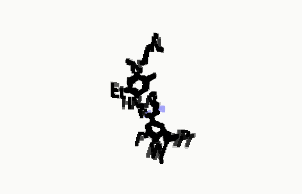 C=N/C=C\C(=N/CNc1cc(C)c(N(C)CCN(C)C)cc1CC)c1cc(F)c2nn(C)c(C(C)C)c2c1